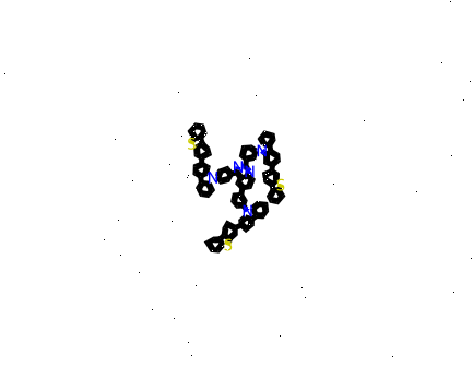 c1cc(-c2ccc3nc(-c4cccc(-n5c6ccccc6c6ccc(-c7ccc8c(c7)sc7ccccc78)cc65)c4)nc(-c4ccc(-n5c6ccccc6c6ccc(-c7ccc8c(c7)sc7ccccc78)cc65)cc4)c3c2)cc(-n2c3ccccc3c3ccc(-c4ccc5c(c4)sc4ccccc45)cc32)c1